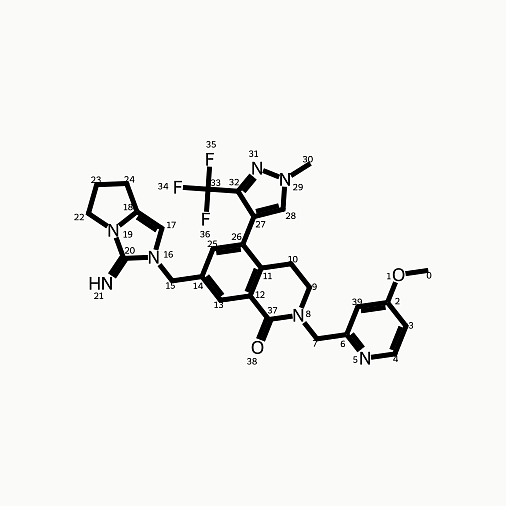 COc1ccnc(CN2CCc3c(cc(Cn4cc5n(c4=N)CCC5)cc3-c3cn(C)nc3C(F)(F)F)C2=O)c1